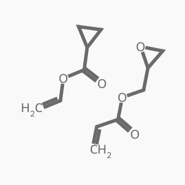 C=CC(=O)OCC1CO1.C=COC(=O)C1CC1